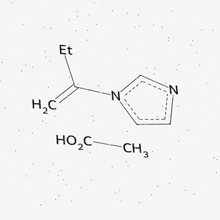 C=C(CC)n1ccnc1.CC(=O)O